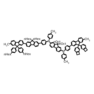 CCCCCCCCC1(CCCCCCCC)c2cc(N(c3ccc(C)cc3)c3ccc(-c4ccc5c(c4)C(CCCCCC)(CCCCCC)c4cc(-c6ccc7c(c6)C(c6ccc(CCCCCC)cc6)(c6ccc(CCCCCC)cc6)c6cc(C)ccc6-7)ccc4-5)cc3)ccc2-c2ccc(N(c3ccc(C)cc3)c3ccc(-c4ccc5c(c4)C(c4ccc6c(c4)CC6)(c4ccc6c(c4)CC6)c4cc(C)ccc4-5)cc3)cc21